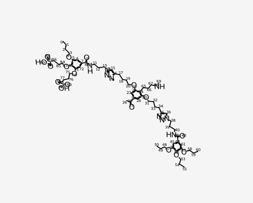 CCCCOc1cc(C(=O)NCCCn2cc(CCCCOc3cc(C(C)=O)cc(OCCCCc4cn(CCCNC(=O)c5cc(OCCC)c(OCCC)c(OCCC)c5)nn4)c3CCCNC)nn2)cc(OCCCS(=O)(=O)O)c1OCCCS(=O)(=O)O